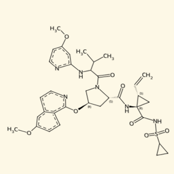 C=C[C@@H]1C[C@]1(NC(=O)[C@@H]1C[C@@H](Oc2nccc3cc(OC)ccc23)CN1C(=O)C(Nc1cc(OC)ccn1)C(C)C)C(=O)NS(=O)(=O)C1CC1